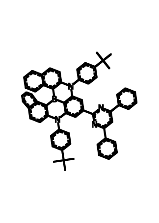 CC(C)(C)c1ccc(N2c3cc(-c4nc(-c5ccccc5)cc(-c5ccccc5)n4)cc4c3B(c3c2ccc2ccccc32)c2c(ccc3ccccc23)N4c2ccc(C(C)(C)C)cc2)cc1